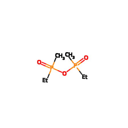 CCP(C)(=O)OP(C)(=O)CC